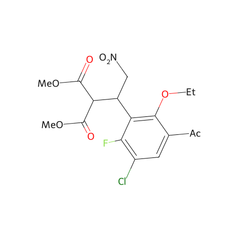 CCOc1c(C(C)=O)cc(Cl)c(F)c1C(C[N+](=O)[O-])C(C(=O)OC)C(=O)OC